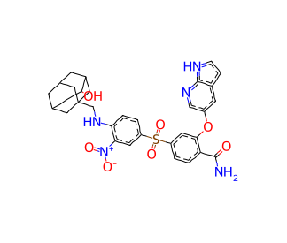 NC(=O)c1ccc(S(=O)(=O)c2ccc(NCC34CC5CC(C3)C(O)C(C5)C4)c([N+](=O)[O-])c2)cc1Oc1cnc2[nH]ccc2c1